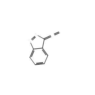 C=C=C1N=Nc2ccccc21